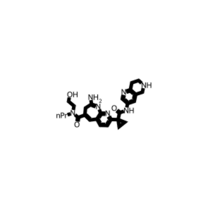 CCCN(CCO)C(=O)C1=Cc2ccc(C3(C(=O)Nc4cnc5c(c4)CNCC5)CC3)nc2N=C(N)C1